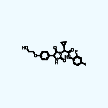 O=C(Nc1ccc(I)cc1F)C(C1CC1)N1C(=O)NC(c2ccc(OCCO)cc2)C1=O